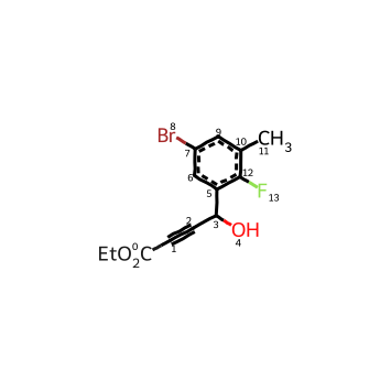 CCOC(=O)C#CC(O)c1cc(Br)cc(C)c1F